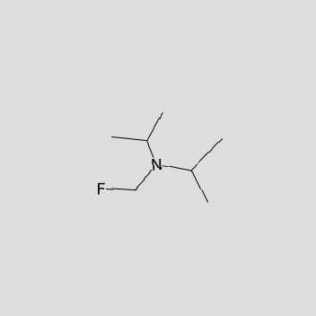 CC(C)N(CF)C(C)C